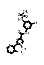 Cc1cccnc1-c1nc(C(=O)Nc2cc(Cl)cc(NS(C)(=O)=O)c2)cn1C